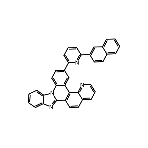 c1cc(-c2ccc3ccccc3c2)nc(-c2ccc3c(c2)c2c(ccc4cccnc42)c2nc4ccccc4n32)c1